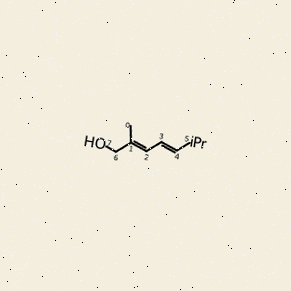 C/C(=C\C=C\C(C)C)CO